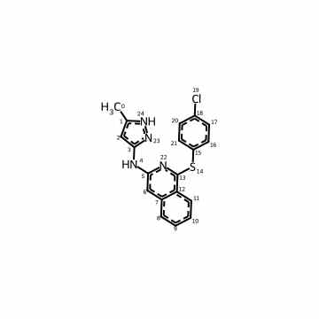 Cc1cc(Nc2cc3ccccc3c(Sc3ccc(Cl)cc3)n2)n[nH]1